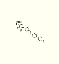 C=CC1CCC(c2ccc(CCc3ccc(-c4ccc(OCCCC)c(F)c4F)cc3)cc2)CC1